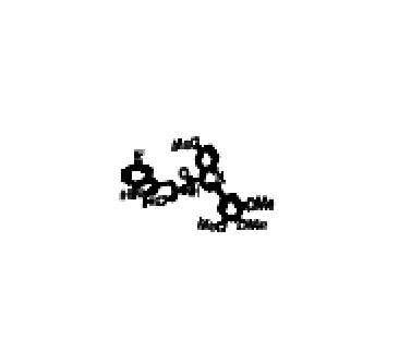 COc1ccc2nc(-c3cc(OC)c(OC)c(OC)c3)cc(C(=O)NC(CO)Cc3c[nH]c4ccc(F)cc34)c2c1